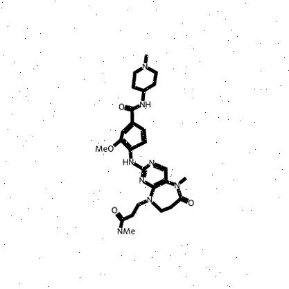 CNC(=O)CCN1CCC(=O)N(C)c2cnc(Nc3ccc(C(=O)NC4CCN(C)CC4)cc3OC)nc21